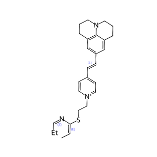 C/C=C(\N=C/CC)SCC[n+]1ccc(/C=C/c2cc3c4c(c2)CCCN4CCC3)cc1